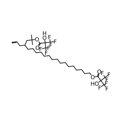 C=CCC(CCCCCCCCCCCCCCCCOC(=O)C(O)(C(F)(F)F)C(F)(F)F)CC(C)(C)OC(=O)C(O)(C(F)(F)F)C(F)(F)F